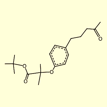 CC(=O)CCCc1ccc(OC(C)(C)C(=O)OC(C)(C)C)cc1